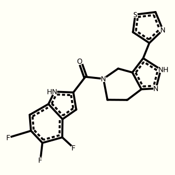 O=C(c1cc2c(F)c(F)c(F)cc2[nH]1)N1CCc2n[nH]c(-c3cscn3)c2C1